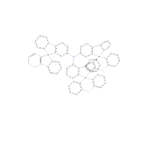 C1=CC2=C(CC1)c1ccccc1C21c2ccccc2-c2ccc(N(c3ccc4c(c3)C3(c5ccccc5Sc5ccccc53)c3ccccc3-4)c3cccc4c3-c3ccccc3C43c4ccccc4Sc4ccccc43)cc21